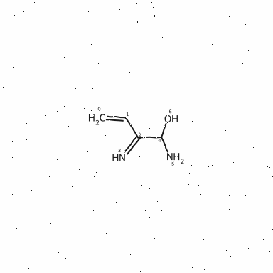 C=CC(=N)C(N)O